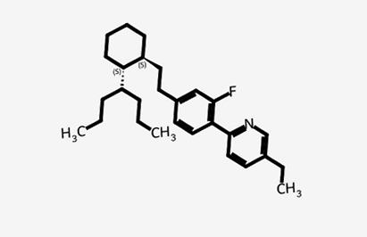 CCCC(CCC)[C@@H]1CCCC[C@H]1CCc1ccc(-c2ccc(CC)cn2)c(F)c1